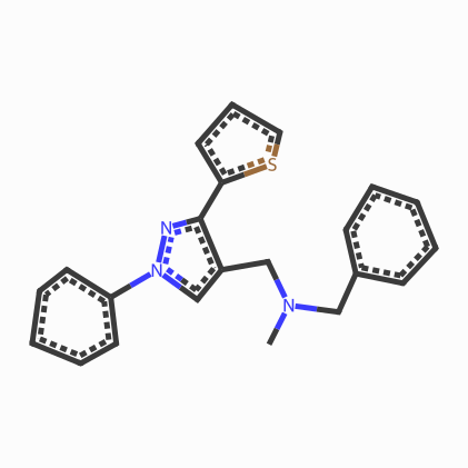 CN(Cc1ccccc1)Cc1cn(-c2ccccc2)nc1-c1cccs1